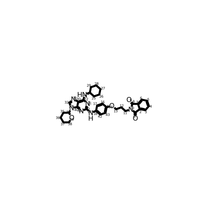 O=C1c2ccccc2C(=O)N1CCCOc1ccc(Nc2nc(NC3CCCCC3)c3ncn(C4CCCCO4)c3n2)cc1